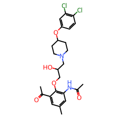 CC(=O)Nc1cc(C)cc(C(C)=O)c1OCC(O)CN1CCC(Oc2ccc(Cl)c(Cl)c2)CC1